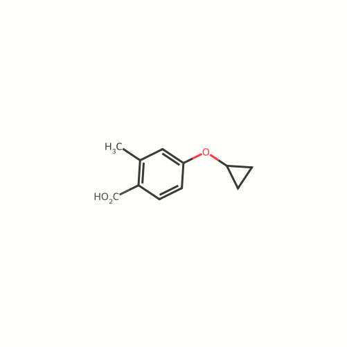 Cc1cc(OC2CC2)ccc1C(=O)O